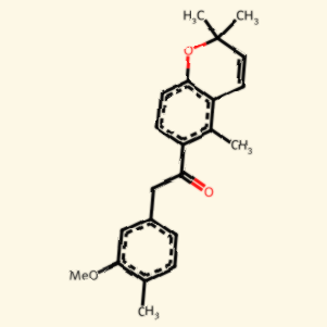 COc1cc(CC(=O)c2ccc3c(c2C)C=CC(C)(C)O3)ccc1C